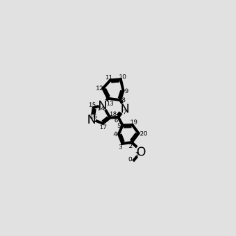 COc1ccc(-c2nc3ccccc3n3cncc23)cc1